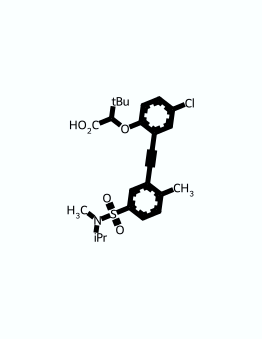 Cc1ccc(S(=O)(=O)N(C)C(C)C)cc1C#Cc1cc(Cl)ccc1OC(C(=O)O)C(C)(C)C